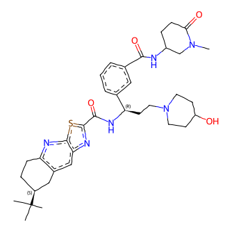 CN1CC(NC(=O)c2cccc([C@@H](CCN3CCC(O)CC3)NC(=O)c3nc4cc5c(nc4s3)CC[C@H](C(C)(C)C)C5)c2)CCC1=O